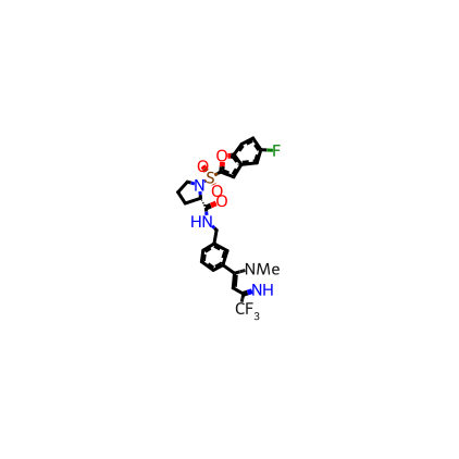 CN/C(=C\C(=N)C(F)(F)F)c1cccc(CNC(=O)[C@@H]2CCCN2S(=O)(=O)c2cc3cc(F)ccc3o2)c1